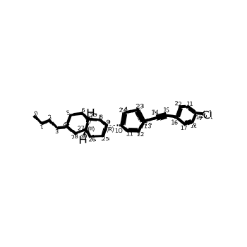 CCCCC1CC[C@@H]2C[C@H](c3ccc(C#Cc4ccc(Cl)cc4)cc3)CC[C@@H]2C1